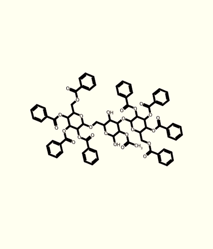 CC(=O)OC1C(O)OC(COC2OC(COC(=O)c3ccccc3)C(OC(=O)c3ccccc3)C(OC(=O)c3ccccc3)C2OC(=O)c2ccccc2)C(O)C1OC1OC(COC(=O)c2ccccc2)C(OC(=O)c2ccccc2)C(OC(=O)c2ccccc2)C1OC(=O)c1ccccc1